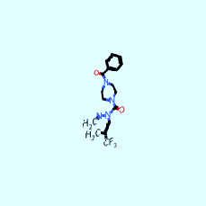 C=NN(/C=C(\C)C(F)(F)F)C(=O)N1CCN(C(=O)c2ccccc2)CC1